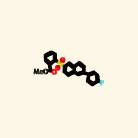 COC(=O)c1ccccc1S(=O)(=O)c1ccc2cc(-c3ccc(F)cc3)ccc2c1